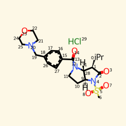 CC(C)[C@H]1C(=O)N(S(C)(=O)=O)[C@H]2CCN(C(=O)c3ccc(CN4CCOCC4)cc3)[C@H]12.Cl